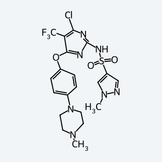 CN1CCN(c2ccc(Oc3nc(NS(=O)(=O)c4cnn(C)c4)nc(Cl)c3C(F)(F)F)cc2)CC1